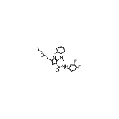 CCCOCCc1cc(C(=O)NCc2ccc(F)c(F)c2)c(N(C)C)n1Cc1ccccc1